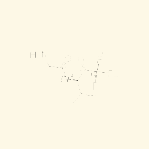 CC(C)C(NC(=O)CN)C(=O)C(F)(F)F